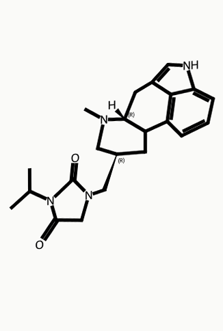 CC(C)N1C(=O)CN(C[C@@H]2CC3c4cccc5[nH]cc(c45)C[C@H]3N(C)C2)C1=O